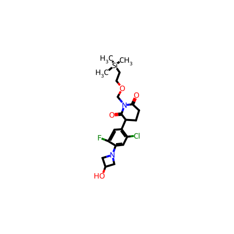 C[Si](C)(C)CCOCN1C(=O)CCC(c2cc(F)c(N3CC(O)C3)cc2Cl)C1=O